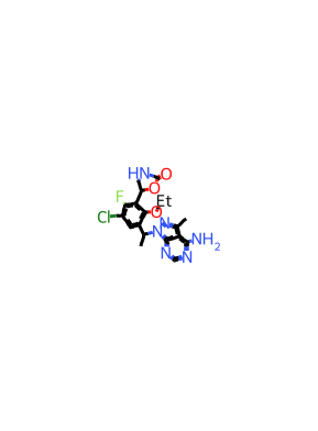 CCOc1c(C(C)n2nc(C)c3c(N)ncnc32)cc(Cl)c(F)c1C1CNC(=O)O1